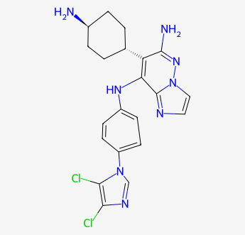 Nc1nn2ccnc2c(Nc2ccc(-n3cnc(Cl)c3Cl)cc2)c1[C@H]1CC[C@H](N)CC1